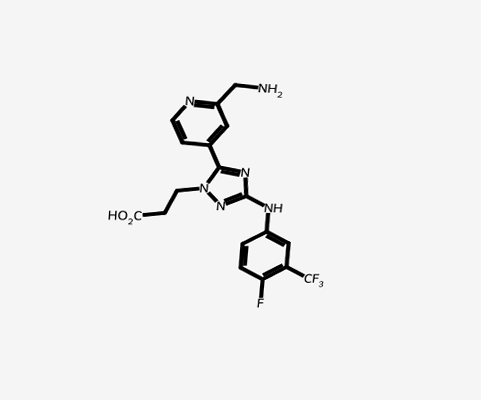 NCc1cc(-c2nc(Nc3ccc(F)c(C(F)(F)F)c3)nn2CCC(=O)O)ccn1